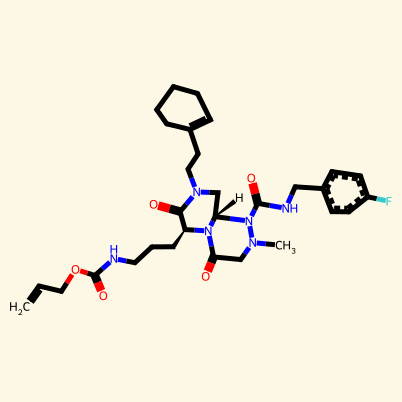 C=CCOC(=O)NCCC[C@H]1C(=O)N(CCC2=CCCCC2)C[C@H]2N1C(=O)CN(C)N2C(=O)NCc1ccc(F)cc1